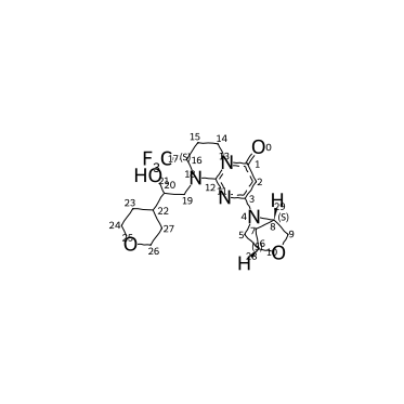 O=c1cc(N2C[C@@H]3C[C@H]2CO3)nc2n1CC[C@@H](C(F)(F)F)N2CC(O)C1CCOCC1